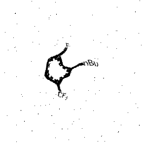 CCCCc1cc(C(F)(F)F)ccc1F